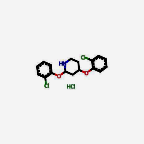 Cl.Clc1ccccc1OC1CCNC(Oc2ccccc2Cl)C1